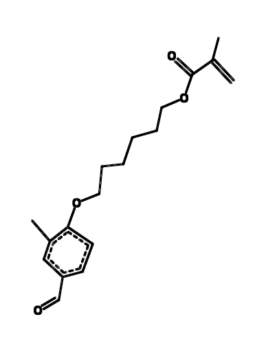 C=C(C)C(=O)OCCCCCCOc1ccc(C=O)cc1C